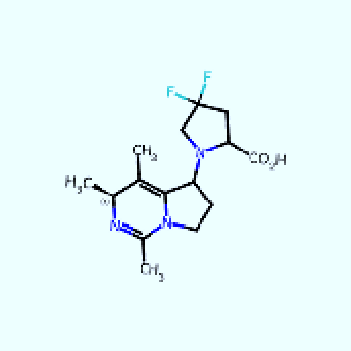 CC1=N[C@@H](C)C(C)=C2C(N3CC(F)(F)CC3C(=O)O)CCN12